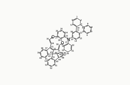 C1=CCC(c2ccccc2)C(c2cccc(N(C3=CCCC=C3)c3cccc4c3O/C=C/C3=C(/C=C/O4)c4ccccc4C34c3ccccc3-c3ccccc34)c2)=C1